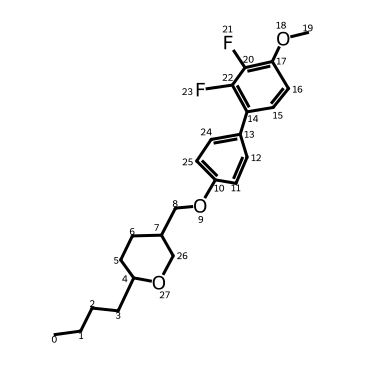 CCCCC1CCC(COc2ccc(-c3ccc(OC)c(F)c3F)cc2)CO1